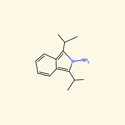 CC(C)c1c2ccccc2c(C(C)C)n1N